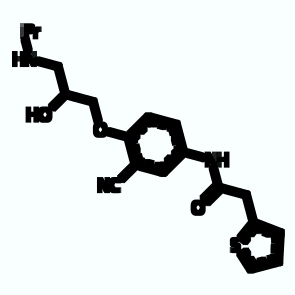 CC(C)NCC(O)COc1ccc(NC(=O)Cc2cccs2)cc1C#N